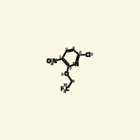 O=[N+]([O-])c1ccc(Cl)nc1OCC(F)(F)F